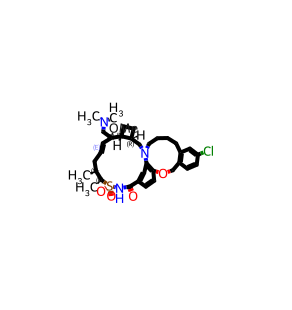 CO[C@@]1(CN(C)C)/C=C/C[C@H](C)[C@@H](C)S(=O)(=O)NC(=O)c2ccc3c(c2)N(CCCCc2cc(Cl)ccc2CO3)C[C@@H]2CC[C@H]21